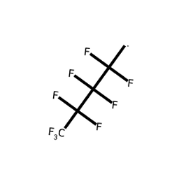 [CH2]C(F)(F)C(F)(F)C(F)(F)C(F)(F)F